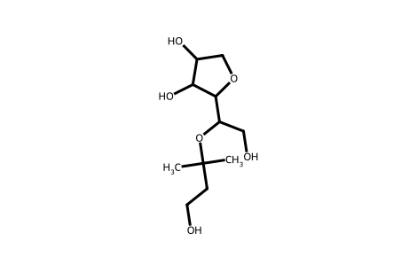 CC(C)(CCO)OC(CO)C1OCC(O)C1O